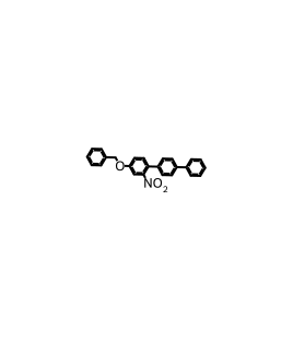 O=[N+]([O-])c1cc(OCc2ccccc2)ccc1-c1ccc(-c2ccccc2)cc1